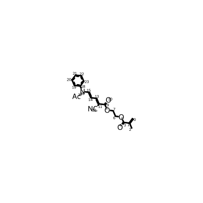 C=C(C)C(=O)OCCOC(=O)/C(C#N)=C/C=C/N(C(C)=O)c1ccccc1